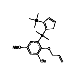 C=CCOc1c(C(C)(C)C)cc(OC)cc1[Si](C)(C)C1=C([Si](C)(C)C)C=CC1